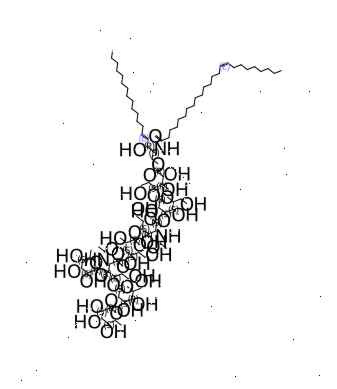 CCCCCCCC/C=C\CCCCCCCCCCCCCC(=O)N[C@@H](CO[C@@H]1OC(CO)[C@@H](O[C@@H]2OC(CO)[C@H](O)[C@H](O[C@@H]3OC(CO)[C@@H](O[C@@H]4OC(CO)[C@H](O)[C@H](O[C@@H]5OC(CO)[C@@H](O[C@@H]6OC(CO)[C@H](O)[C@H](O)C6O[C@H]6OC(C)[C@@H](O)C(O)[C@@H]6O)[C@H](O[C@H]6OC(C)[C@@H](O)C(O)[C@@H]6O)C5NC(C)=O)C4O)[C@H](O)C3NC(C)=O)C2O)[C@H](O)C1O)[C@H](O)/C=C/CCCCCCCCCCCCC